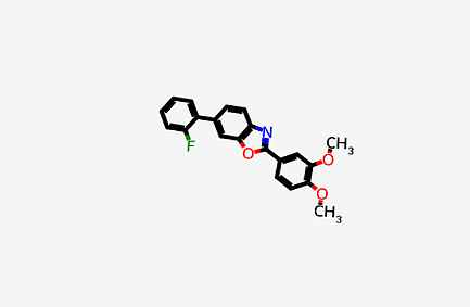 COc1ccc(-c2nc3ccc(-c4ccccc4F)cc3o2)cc1OC